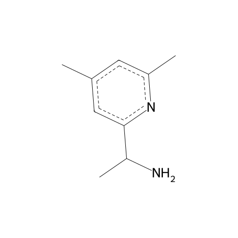 Cc1cc(C)nc(C(C)N)c1